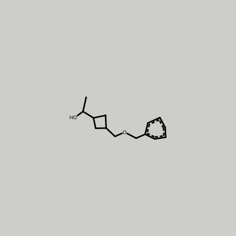 CC(O)C1CC(COCc2ccccc2)C1